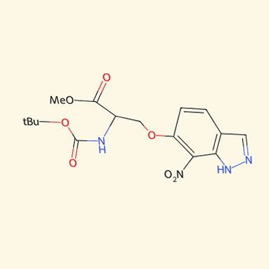 COC(=O)C(COc1ccc2cn[nH]c2c1[N+](=O)[O-])NC(=O)OC(C)(C)C